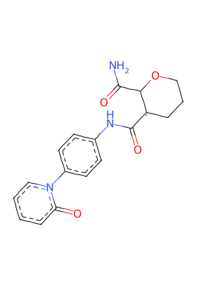 NC(=O)C1OCCC[C]1C(=O)Nc1ccc(-n2ccccc2=O)cc1